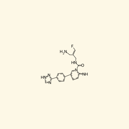 N=c1ccc(-c2ccc(-c3nc[nH]n3)cc2)cn1C(=O)NC/C(=C/F)CN